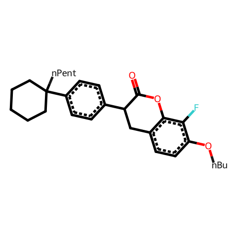 CCCCCC1(c2ccc(C3Cc4ccc(OCCCC)c(F)c4OC3=O)cc2)CCCCC1